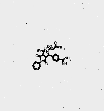 CC(C)C1(OC(=O)O)C2C(=O)N(c3ccccc3)C(=O)C2C(c2ccc(C(=N)N)cc2)N1CCC(N)=O